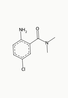 CN(C)C(=O)c1cc(Cl)ccc1N